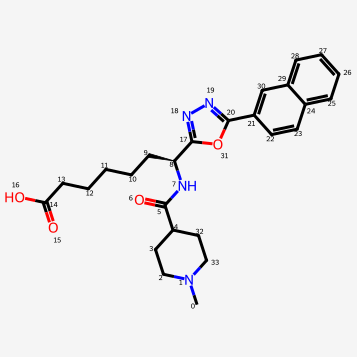 CN1CCC(C(=O)N[C@@H](CCCCCC(=O)O)c2nnc(-c3ccc4ccccc4c3)o2)CC1